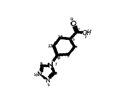 O=C(O)C1CCC(n2cnnc2)CC1